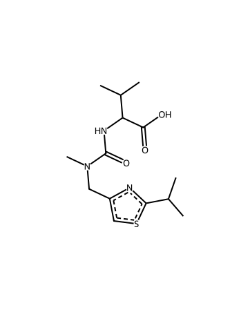 CC(C)c1nc(CN(C)C(=O)NC(C(=O)O)C(C)C)cs1